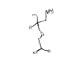 CCC(CC)SOC(S)(CC)CN